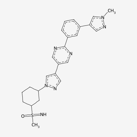 Cn1cc(-c2cccc(-c3ncc(-c4cnn(C5CCCC(S(C)(=N)=O)C5)c4)cn3)c2)cn1